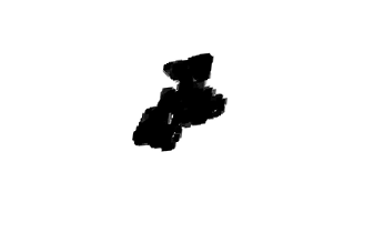 COc1ccc(C2=NN(C3CCN(C(=O)[C@H](CCC(=O)N4CCCCC4)NC(=O)c4c[nH]c5c(-c6c(OCC7CC7)ccc7c6OCO7)ncnc45)CC3)C(=O)[C@@H]3CCCC[C@H]23)cc1OC